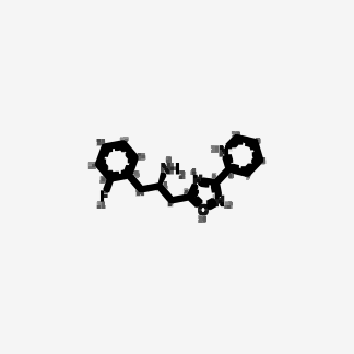 N[C@@H](Cc1nc(-c2ccccn2)no1)Cc1ccccc1F